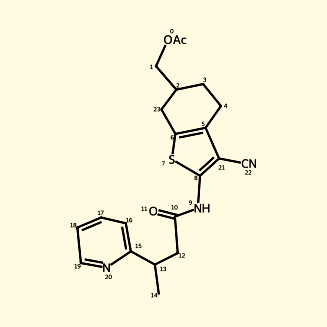 CC(=O)OCC1CCc2c(sc(NC(=O)CC(C)c3ccccn3)c2C#N)C1